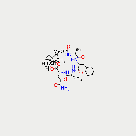 COC(=O)N[C@H](C(=O)N[C@@H](Cc1ccccc1)C(=O)N[C@@H](C)C(=O)NC(CCC(N)=O)B1O[C@@H]2CC3C[C@@H](C3(C)C)[C@]2(C)O1)C(C)C